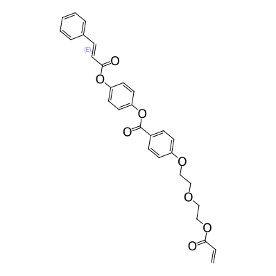 C=CC(=O)OCCOCCOc1ccc(C(=O)Oc2ccc(OC(=O)/C=C/c3ccccc3)cc2)cc1